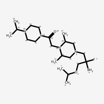 BC(F)(COC(C)C)CN1CC(C)N(CC(=O)N2CCN(C(C)C)CC2)C(C)C1